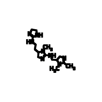 CC1=NCC(CNC2=NCC(CCNC3=NCCN3)N2C)N1C